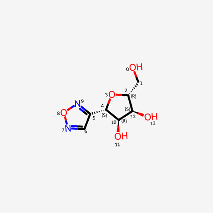 OC[C@H]1O[C@@H](c2cnon2)[C@H](O)[C@@H]1O